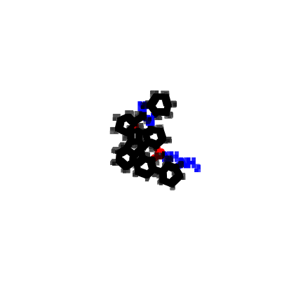 Nc1cccc(-c2cccc3c2Oc2ccc(-n4c(-c5ccccc5)nc5ccccc54)cc2C32c3ccccc3-c3ccccc32)c1N